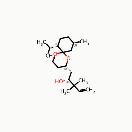 C=CC(C)(C)[C@H](O)C[C@@H]1CCOC2(C[C@H](C)CC[C@H]2C(C)C)O1